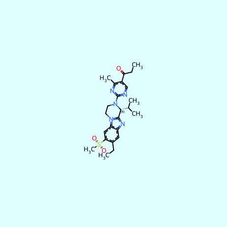 CCC(=O)c1cnc(N2CCn3c(nc4cc(CC)c(S(C)(=O)=O)cc43)[C@H]2C(C)C)nc1C